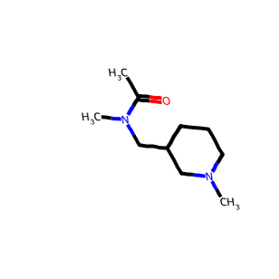 CC(=O)N(C)CC1CCCN(C)C1